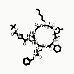 CCCCCC[C@H]1OC(=O)CNC(=O)[C@H](CNC(=O)C2CN(C(=O)OC(C)(C)C)C2)NC(=O)[C@H](CNC(=O)OCc2ccccc2)NC(=O)[C@H](C2CCCCC2)NC(=O)[C@H](CC(C)C)N(C)C(=O)[C@@H]1C